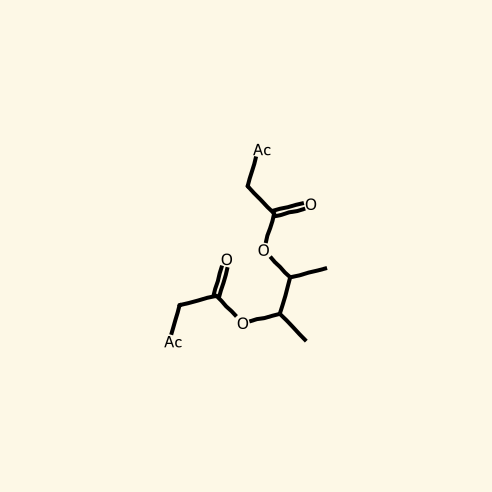 CC(=O)CC(=O)OC(C)C(C)OC(=O)CC(C)=O